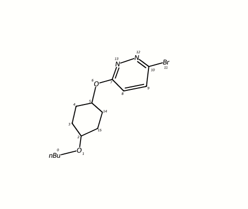 CCCCOC1CCC(Oc2ccc(Br)nn2)CC1